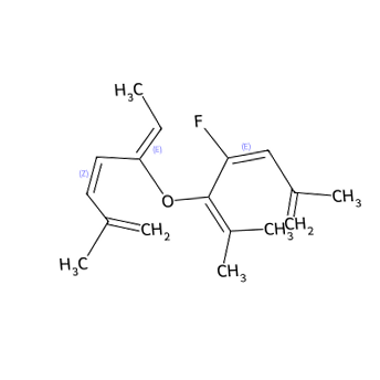 C=C(C)/C=C\C(=C/C)OC(=C(C)C)/C(F)=C\C(=C)C